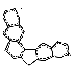 c1ccc2cc3c4c(ccc3cc2c1)Cc1cc2cnccc2cc1-4